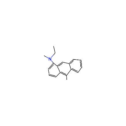 CCN(C)c1cccc2c(C)c3ccccc3cc12